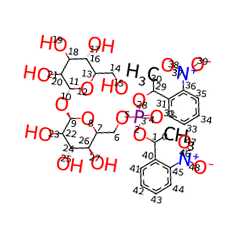 CC(OP(=O)(OCC1O[C@H](O[C@H]2OC(CO)[C@@H](O)C(O)C2O)C(O)[C@@H](O)[C@@H]1O)OC(C)c1ccccc1[N+](=O)[O-])c1ccccc1[N+](=O)[O-]